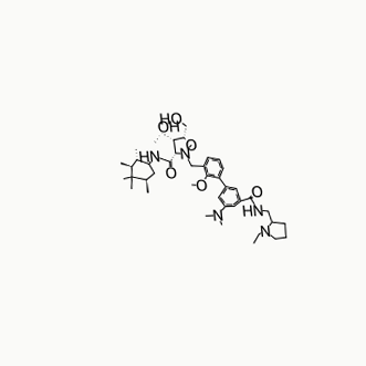 CCN1CCCC1CNC(=O)c1cc(-c2cccc(CN3O[C@@H](CO)[C@@H]([C@H](C)O)[C@H]3C(=O)N[C@H]3C[C@@H](C)C(C)(C)[C@@H](C)[C@@H]3C)c2OC)cc(N(C)C)c1